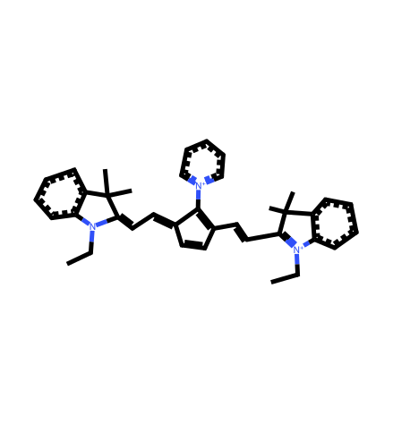 CCN1/C(=C/C=C2\C=CC(/C=C/C3=[N+](CC)c4ccccc4C3(C)C)=C2[n+]2ccccc2)C(C)(C)c2ccccc21